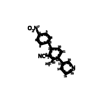 N#Cc1c(-c2ccc([N+](=O)[O-])cc2)ccc(-c2cccnc2)c1F